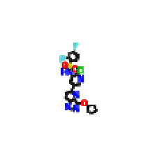 O=S(=O)(Nc1cc(-c2ccc3ncnc(OC4CCCC4)c3n2)cnc1Cl)c1ccc(F)cc1F